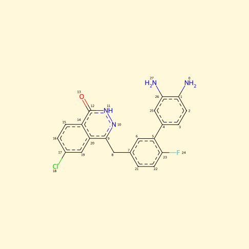 Nc1ccc(-c2cc(Cc3n[nH]c(=O)c4ccc(Cl)cc34)ccc2F)cc1N